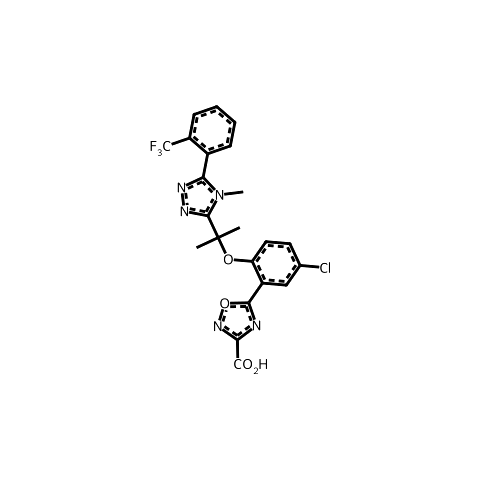 Cn1c(-c2ccccc2C(F)(F)F)nnc1C(C)(C)Oc1ccc(Cl)cc1-c1nc(C(=O)O)no1